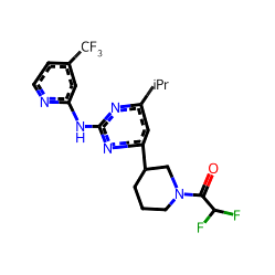 CC(C)c1cc(C2CCCN(C(=O)C(F)F)C2)nc(Nc2cc(C(F)(F)F)ccn2)n1